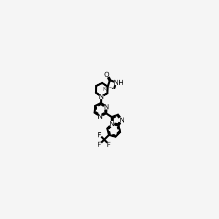 O=C1NC[C@]12CCCN(c1ccnc(-c3cnc4ccc(C(F)(F)F)cn34)n1)C2